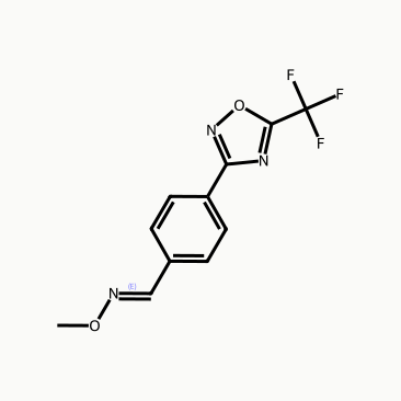 CO/N=C/c1ccc(-c2noc(C(F)(F)F)n2)cc1